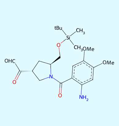 COc1cc(N)c(C(=O)N2C[C@H](C(=O)C=O)C[C@H]2CO[Si](C)(C)C(C)(C)C)cc1OC